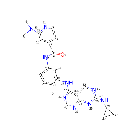 Cc1ccc(NC(=O)c2ccnc(N(C)C)c2)cc1Nc1ncnc2nc(NC3CC3)ncc12